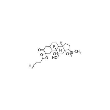 CCCC1OC2(C[C@@]3(C)C(=CC2=O)CC[C@H]2[C@@H]4CC[C@@H](SC)[C@@]4(C)C[C@H](O)[C@@]23F)O1